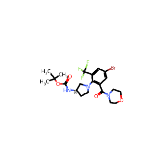 CC(C)(C)OC(=O)N[C@@H]1CCN(c2c(C(=O)N3CCOCC3)cc(Br)cc2C(F)(F)F)C1